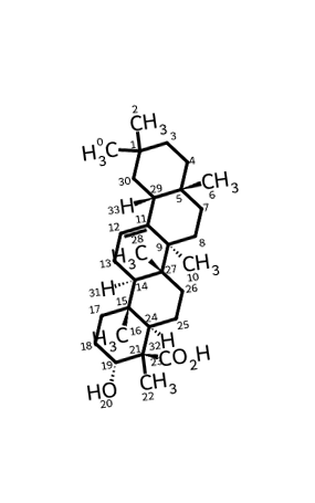 CC1(C)CC[C@]2(C)CC[C@]3(C)C(=CC[C@@H]4[C@@]5(C)CC[C@@H](O)[C@](C)(C(=O)O)[C@@H]5CC[C@]43C)[C@@H]2C1